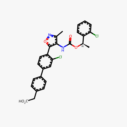 Cc1noc(-c2ccc(-c3ccc(CC(=O)O)cc3)cc2Cl)c1NC(=O)O[C@H](C)c1ccccc1Cl